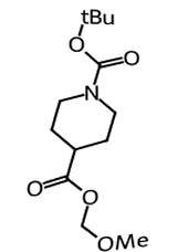 COCOC(=O)C1CCN(C(=O)OC(C)(C)C)CC1